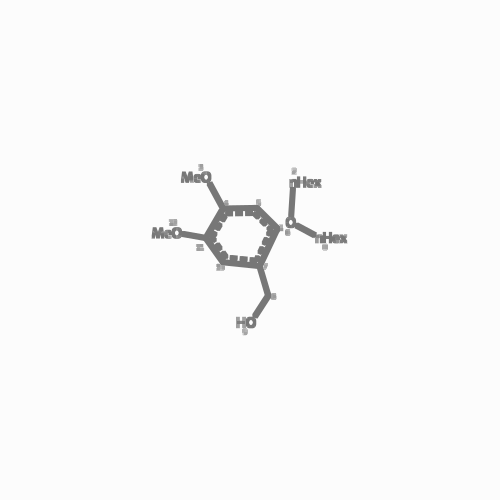 CCCCCCOCCCCCC.COc1ccc(CO)cc1OC